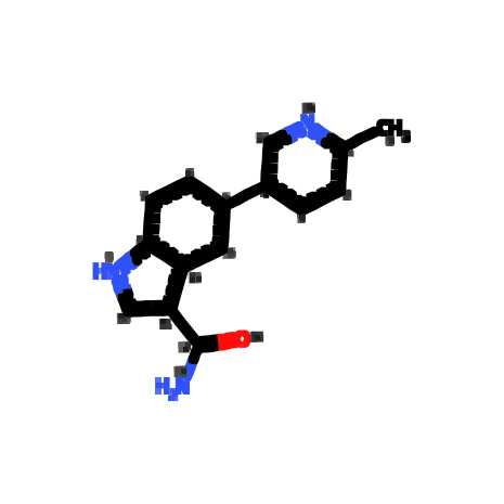 Cc1ccc(-c2ccc3[nH]cc(C(N)=O)c3c2)cn1